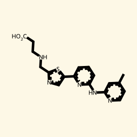 Cc1ccnc(Nc2cccc(-c3cnc(CNCCC(=O)O)s3)n2)c1